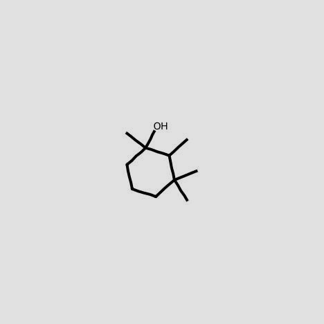 CC1C(C)(C)CCCC1(C)O